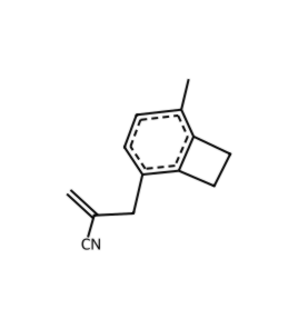 C=C(C#N)Cc1ccc(C)c2c1CC2